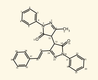 CC1=NN(c2ccccc2)C(=O)C1C1C(=O)N(c2ccccc2)N=C1C=Cc1ccccc1